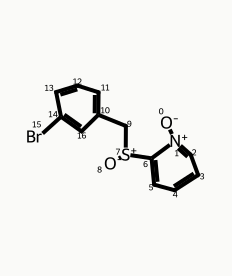 [O-][n+]1ccccc1[S+]([O-])Cc1cccc(Br)c1